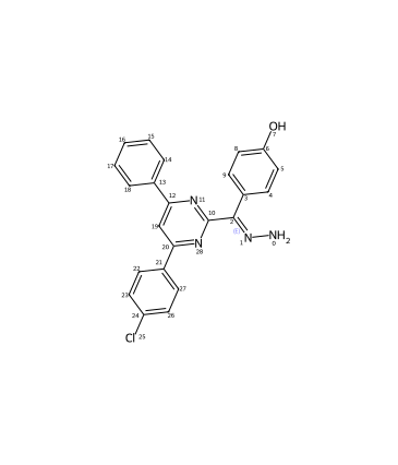 N/N=C(\c1ccc(O)cc1)c1nc(-c2ccccc2)cc(-c2ccc(Cl)cc2)n1